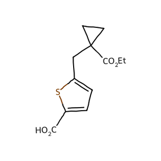 CCOC(=O)C1(Cc2ccc(C(=O)O)s2)CC1